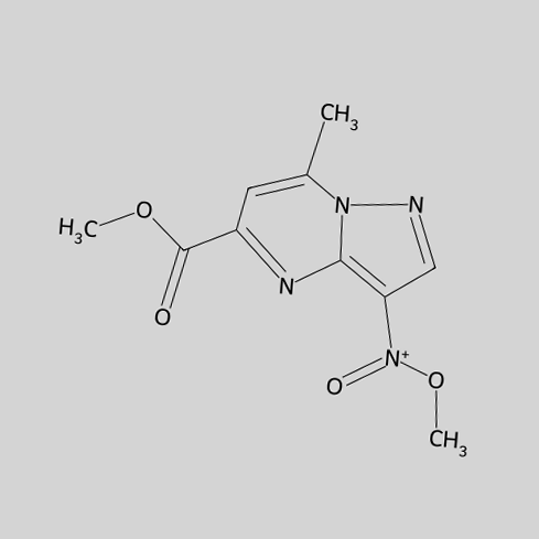 COC(=O)c1cc(C)n2ncc([N+](=O)OC)c2n1